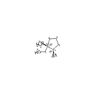 CC[C@@H]1CCC[C@@]1(N)CO